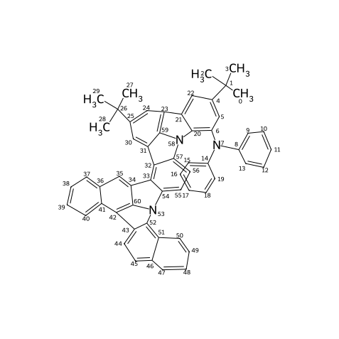 CC(C)(C)c1cc(N(c2ccccc2)c2ccccc2)c2c(c1)c1cc(C(C)(C)C)cc3c4c5c6cc7ccccc7c7c8ccc9ccccc9c8n(c5ccc4n2c13)c67